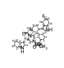 COc1ccccc1CN(C[C@@H](Cc1c[nH]c2ccccc12)NC(=O)CN1CCC(c2c[nH]c3ccc(F)cc23)CC1)C(C)=O